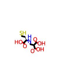 O=C(O)C(CN[C@@H](CCS)C(=O)O)C(=O)O